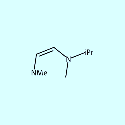 CN/C=C\N(C)C(C)C